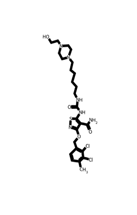 Cc1ccc(COc2nsc(NC(=O)NCCCCCCN3CCN(CCO)CC3)c2C(N)=O)c(Cl)c1Cl